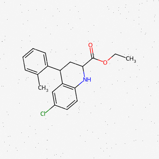 CCOC(=O)C1CC(c2ccccc2C)c2cc(Cl)ccc2N1